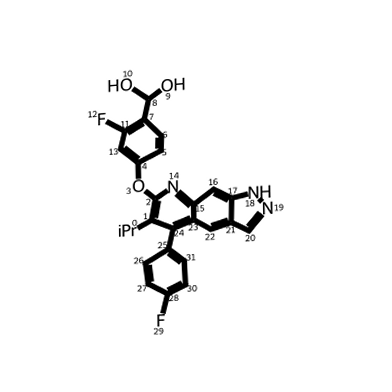 CC(C)c1c(Oc2ccc(C(O)O)c(F)c2)nc2cc3[nH]ncc3cc2c1-c1ccc(F)cc1